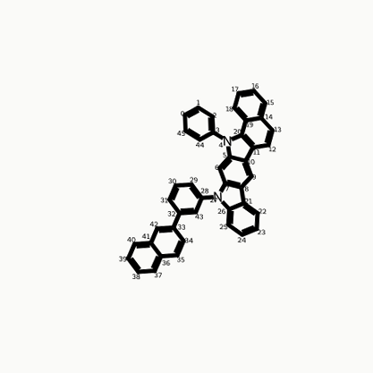 c1ccc(-n2c3cc4c(cc3c3ccc5ccccc5c32)c2ccccc2n4-c2cccc(-c3ccc4ccccc4c3)c2)cc1